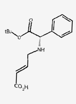 CC(C)(C)OC(=O)[C@@H](NC/C=C/C(=O)O)c1ccccc1